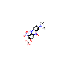 CN(C)c1ccc(Nc2c([N+](=O)[O-])cc(OC(=O)O)cc2[N+](=O)[O-])cc1